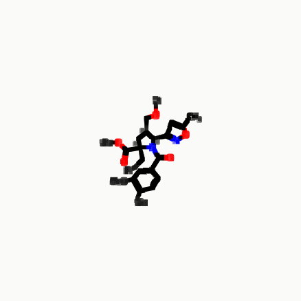 CCOC[C@@H]1C[C@@](CC(C)C)(C(=O)OC(C)(C)C)N(C(=O)c2ccc(C(C)(C)C)c(OC)c2)[C@@H]1c1cc(C)on1